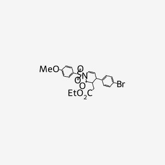 CCOC(=O)CC1C(=O)N(S(=O)(=O)c2ccc(OC)cc2)C=CC1c1ccc(Br)cc1